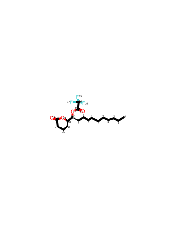 CCCCCCCCCC[C@H](OC(=O)C(F)(F)F)[C@H]1CCCC(=O)O1